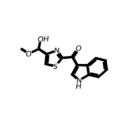 COC(O)c1csc(C(=O)c2c[nH]c3ccccc23)n1